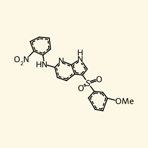 COc1cccc(S(=O)(=O)c2c[nH]c3nc(Nc4ccccc4[N+](=O)[O-])ccc23)c1